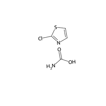 Clc1nccs1.NC(=O)O